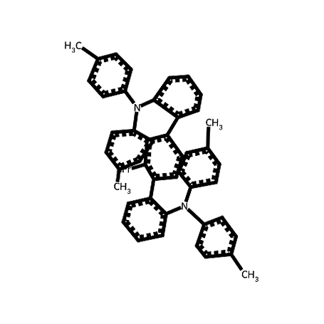 CCCc1cc(-c2ccccc2N(c2ccc(C)cc2)c2ccc(C)cc2)ccc1-c1ccccc1N(c1ccc(C)cc1)c1ccc(C)cc1